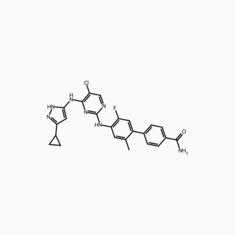 Cc1cc(Nc2ncc(Cl)c(Nc3cc(C4CC4)n[nH]3)n2)c(F)cc1-c1ccc(C(N)=O)cc1